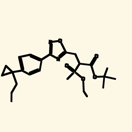 CCCC1(c2ccc(-c3noc(CC(C(=O)OC(C)(C)C)P(C)(=O)OCC)n3)cc2)CC1